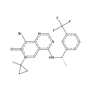 C[C@H](Nc1ncnc2c(Br)c(=O)n(C3(C)CC3)cc12)c1cccc(C(F)(F)F)c1